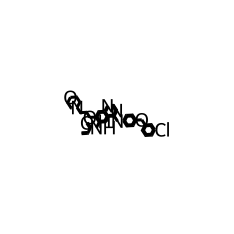 C=CC(=O)Nc1cc2c(Nc3ccc(Oc4cccc(Cl)c4)cc3)ncnc2cc1OCCN1CCOCC1